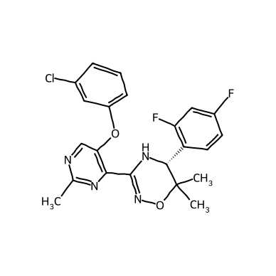 Cc1ncc(Oc2cccc(Cl)c2)c(C2=NOC(C)(C)[C@@H](c3ccc(F)cc3F)N2)n1